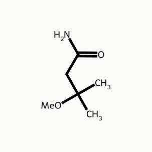 COC(C)(C)CC(N)=O